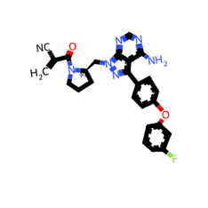 C=C(C#N)C(=O)N1CCC[C@@H]1Cn1nc(-c2ccc(Oc3cccc(F)c3)cc2)c2c(N)ncnc21